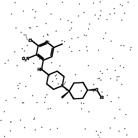 CCO[C@H]1CC[C@](C)(N2CCC(Nc3cc(C)nc(Cl)c3[N+](=O)[O-])CC2)CC1